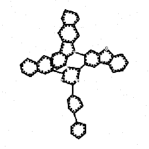 c1ccc(-c2ccc(-c3nc(-c4ccc5ccccc5c4)nc(-c4cc5c(cc4-n4c6ccccc6c6cc7ccccc7cc64)oc4ccccc45)n3)cc2)cc1